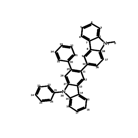 Cn1c2ccccc2c2cc(-c3cc4c5ccccc5n(-c5ccccc5)c4cc3-c3ccccc3)ccc21